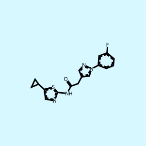 O=C(Cc1cnn(-c2cccc(F)c2)c1)Nc1ncc(C2CC2)s1